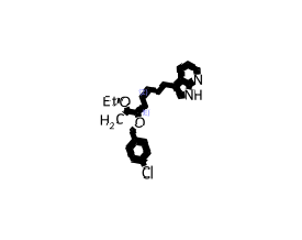 C=C(OCC)/C(=C\C=C/CCc1c[nH]c2ncccc12)OCc1ccc(Cl)cc1